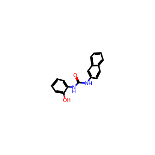 O=C(Nc1ccc2ccccc2c1)Nc1ccccc1O